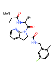 CN[C@@H](C)C(=O)N[C@H](C(=O)N1c2ncccc2C[C@H]1C(=O)NCc1cc(F)ccc1C)C(C)C